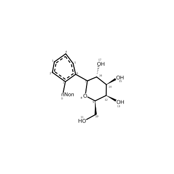 CCCCCCCCCc1ccccc1[C]1O[C@H](CO)[C@H](O)[C@H](O)[C@H]1O